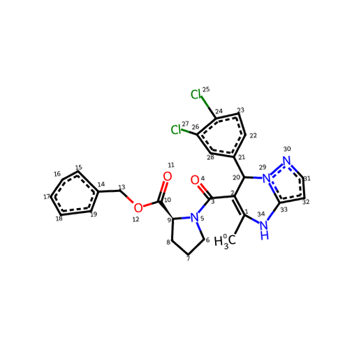 CC1=C(C(=O)N2CCC[C@H]2C(=O)OCc2ccccc2)C(c2ccc(Cl)c(Cl)c2)n2nccc2N1